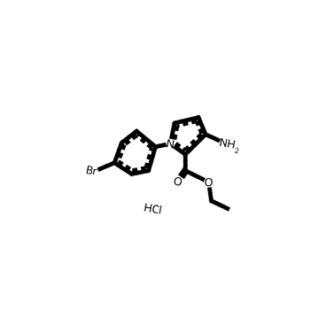 CCOC(=O)c1c(N)ccn1-c1ccc(Br)cc1.Cl